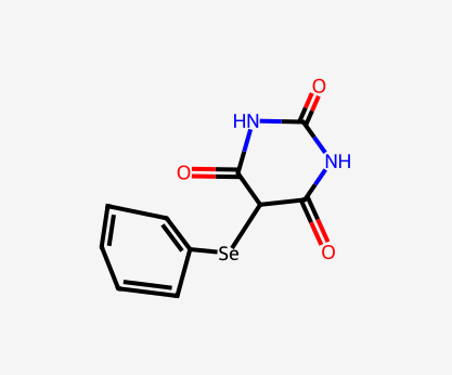 O=C1NC(=O)C([Se]c2ccccc2)C(=O)N1